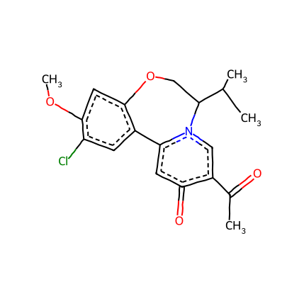 COc1cc2c(cc1Cl)-c1cc(=O)c(C(C)=O)cn1C(C(C)C)CO2